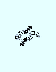 CC(C)(C)OC(=O)N1CCCO[C@H](C(=O)N[C@@H](Cc2ccc(B3OC(C)(C)C(C)(C)O3)cc2)C(N)=O)C1.CC1(C)OB(c2ccc(C[C@H](NC(=O)[C@@H]3CN(C(=O)O)CCCO3)C(N)=O)cc2)OC1(C)C